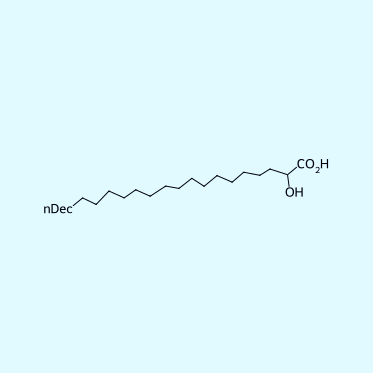 CCCCCCCCCCCCCCCCCCCCCCCCCC(O)C(=O)O